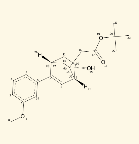 COc1cccc(C2=C[C@H]3CC[C@@H]2C[C@@]3(O)CC(=O)OC(C)(C)C)c1